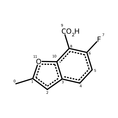 Cc1cc2ccc(F)c(C(=O)O)c2o1